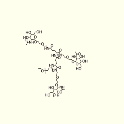 CCOC(C)(C)CCC(=O)NC(CCC(=O)NC(CCC(=O)NCCOCCOC1OC(CO)C(O)C(O)C1NC(C)=O)C(=O)NCCOCCOC1OC(CO)C(O)C(O)C1NC(C)=O)C(=O)NCCOCCOC(NC(C)=O)C(O)C(O)C(CO)OC